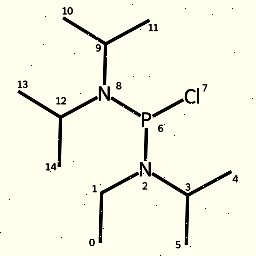 CCN(C(C)C)P(Cl)N(C(C)C)C(C)C